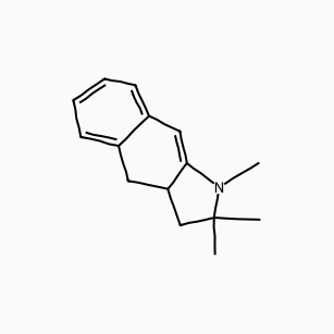 CN1C2=Cc3ccccc3CC2CC1(C)C